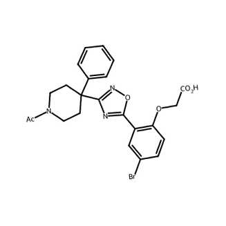 CC(=O)N1CCC(c2ccccc2)(c2noc(-c3cc(Br)ccc3OCC(=O)O)n2)CC1